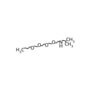 CCCCOCCOCCOCCOCCNCC(C)C